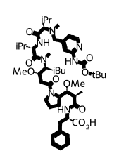 CC[C@H](C)[C@@H]([C@H](CC(=O)N1CCCC1[C@H](OC)[C@@H](C)C(=O)N[C@@H](Cc1ccccc1)C(=O)O)OC)N(C)C(=O)[C@@H](NC(=O)[C@H](C(C)C)N(C)Cc1ccnc(NC(=O)OC(C)(C)C)c1)C(C)C